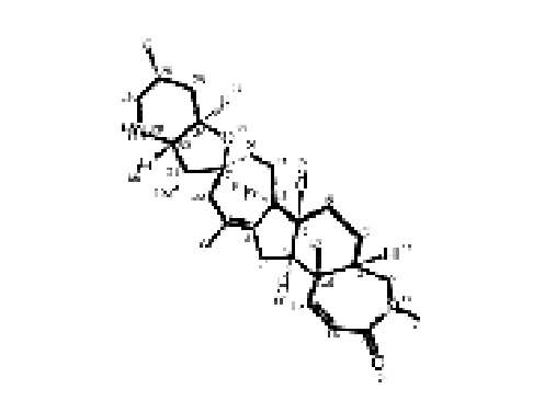 CC1=C2C[C@H]3[C@@H](CC[C@@H]4CN(C)C(=O)C=C[C@@]43C)[C@@H]2CC[C@@]2(C1)O[C@@H]1C[C@H](C)CN[C@H]1[C@H]2C